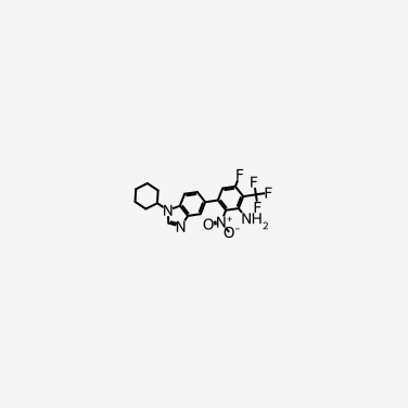 Nc1c([N+](=O)[O-])c(-c2ccc3c(c2)ncn3C2CCCCC2)cc(F)c1C(F)(F)F